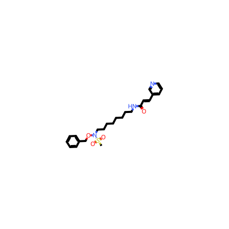 CS(=O)(=O)N(CCCCCCCCNC(=O)/C=C/c1cccnc1)OCc1ccccc1